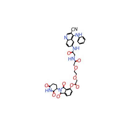 N#Cc1cnc2ccc(NC(=O)CNC(=O)COCCOCC(=O)Oc3cccc4c3C(=O)N(C3CCC(=O)NC3=O)C4=O)cc2c1Nc1ccccc1